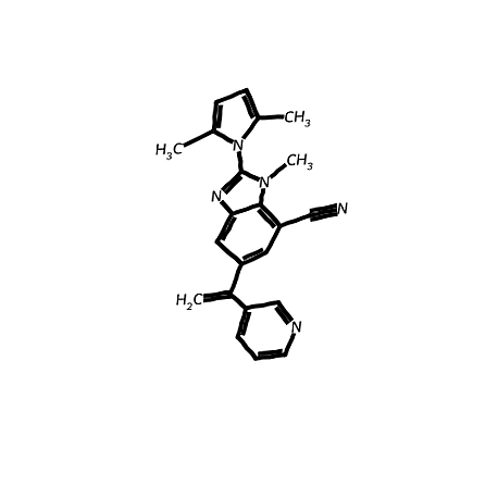 C=C(c1cccnc1)c1cc(C#N)c2c(c1)nc(-n1c(C)ccc1C)n2C